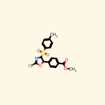 COC(=O)c1ccc(C2OC(Cl)=NC2S(=O)(=O)c2ccc(C)cc2)cc1